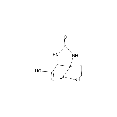 O=C1NC(C(=O)O)C2(CCNC2=O)N1